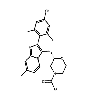 CCC(=O)N1CCO[C@@H](Cc2c(-c3c(F)cc(C#N)cc3F)nc3cc(C)ccn23)C1